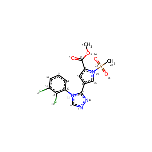 COC(=O)c1cc(-c2nncn2-c2cccc(F)c2F)cn1S(C)(=O)=O